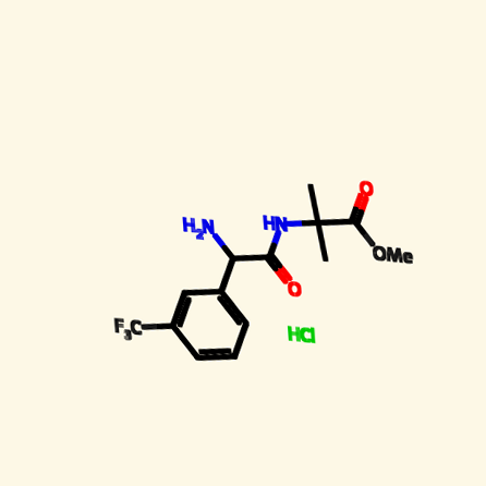 COC(=O)C(C)(C)NC(=O)C(N)c1cccc(C(F)(F)F)c1.Cl